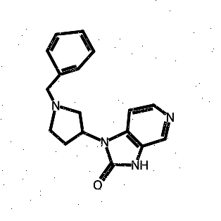 O=c1[nH]c2cnccc2n1C1CCN(Cc2ccccc2)C1